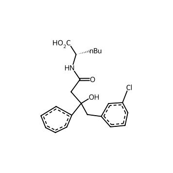 CCCC[C@H](NC(=O)CC(O)(Cc1cccc(Cl)c1)c1ccccc1)C(=O)O